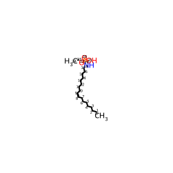 CCCCCCCC/C=C\CCCCCCCCNP(=O)(O)OCC